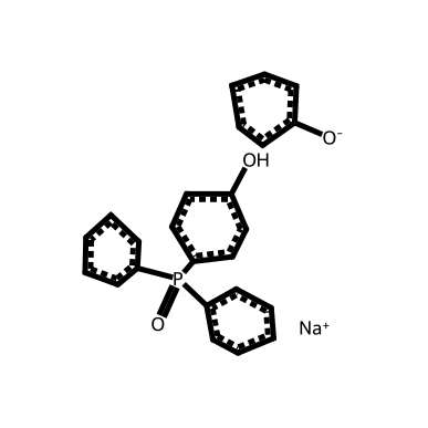 O=P(c1ccccc1)(c1ccccc1)c1ccc(O)cc1.[Na+].[O-]c1ccccc1